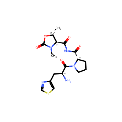 C[C@H]1OC(=O)N(C)[C@@H]1C(=O)NC(=O)[C@@H]1CCCN1C(=O)[C@@H](N)Cc1cscn1